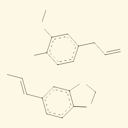 C=CCc1ccc(O)c(OC)c1.CC=Cc1ccc2c(c1)OCO2